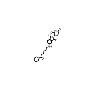 O=C1CCC(N2C(=O)c3ccc(NCCCCCC(=O)N4CCCCC4)cc3C2=O)C(=O)N1